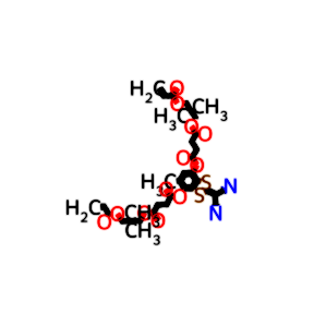 C=CC(=O)OCC(C)(C)COC(=O)CCC(=O)Oc1cc(C)c(OC(=O)CCC(=O)OCC(C)(C)COC(=O)C=C)c2c1SC(=C(C#N)C#N)S2